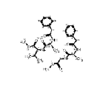 COC(=O)CNC(=O)[C@H](C)NC(=O)Cc1ccccc1.COC(=O)[C@@H](NC(=O)[C@H](C)NC(=O)Cc1ccccc1)C(C)C